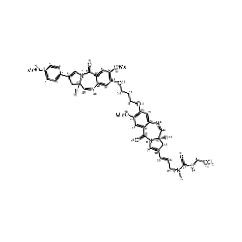 COc1ccc(C2=CN3C(=O)c4cc(OC)c(OCCCOc5cc6c(cc5OC)C(=O)N5C=C(/C=C/CN(C)C(=O)OCC(Cl)(Cl)Cl)C[C@H]5C=N6)cc4N=C[C@@H]3C2)cc1